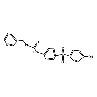 O=C(NCc1cccnc1)Nc1ccc(S(=O)(=O)c2ccc(O)cc2)cc1